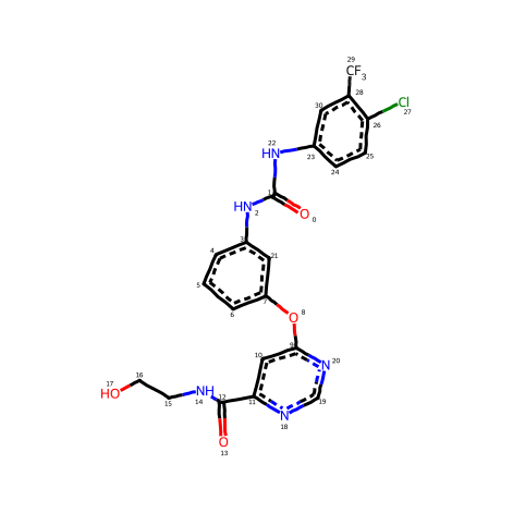 O=C(Nc1cccc(Oc2cc(C(=O)NCCO)ncn2)c1)Nc1ccc(Cl)c(C(F)(F)F)c1